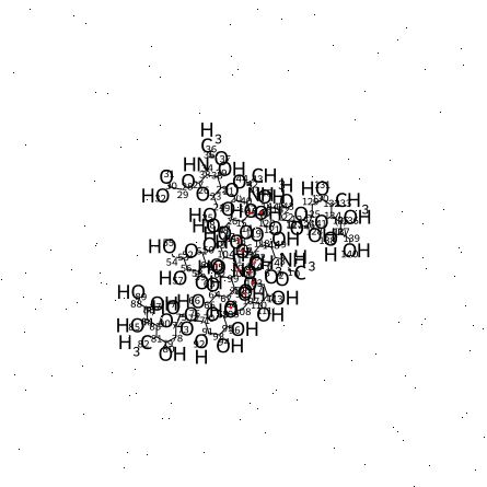 CC(=O)NC1C(OC2C(OCC3OC(OC4C(CO)OC(OC5C(CO)OC(OCC(=O)O)C(NC(C)=O)C5O)C(NC(C)=O)C4O)C(O)C(OC4OC(CO)C(O)C(O)C4OC4OC(CO)C(OC5OC(COC6(C(=O)O)CC(O)C(C)C([C@H](O)[C@H](O)CO)O6)C(O)C(O)C5O)C(O)C4NC(C)=O)C3O)OC(CO)C(O)C2O)OC(CO)C(OC2OC(COC3(C(=O)O)CC(O)C(C)C([C@H](O)[C@H](O)CO)O3)C(O)C(O)C2O)C1O